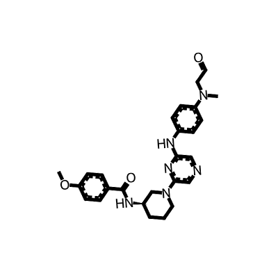 COc1ccc(C(=O)N[C@@H]2CCCN(c3cncc(Nc4ccc(N(C)CC=O)cc4)n3)C2)cc1